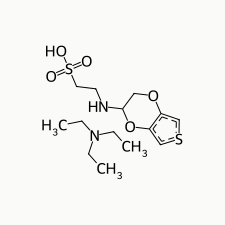 CCN(CC)CC.O=S(=O)(O)CCNC1COc2cscc2O1